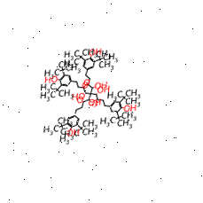 CC(C)(C)c1cc(CCC(=O)C(O)C(C(O)C(=O)CCc2cc(C(C)(C)C)c(O)c(C(C)(C)C)c2)(C(O)C(=O)CCc2cc(C(C)(C)C)c(O)c(C(C)(C)C)c2)C(O)C(=O)CCc2cc(C(C)(C)C)c(O)c(C(C)(C)C)c2)cc(C(C)(C)C)c1O